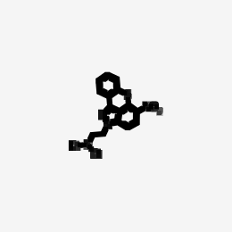 CCN(CC)CCn1nc2c3c(c([N+](=O)[O-])ccc31)Sc1ccccc1-2